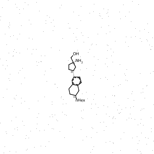 CCCCCC[C@H]1CCc2cc([C@@H]3CC[C@@](N)(CO)C3)ccc2C1